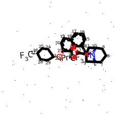 CC(C)OC(=O)C1CC2CCCC(C1)N2Cc1cccc2ccc(O[C@H]3CC[C@@H](C(F)(F)F)CC3)c(C(F)(F)F)c12